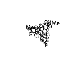 CNS(=O)(=O)C1CCC(C2=C(C(=O)OC)C(c3ccc(F)c(F)c3Cl)N=C(c3ncc(F)cc3F)N2)CC1